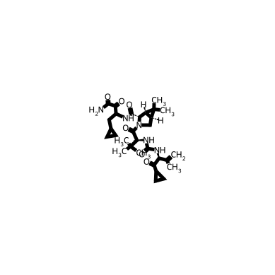 C=C(C)[C@H](NC(=O)N[C@H](C(=O)N1C[C@H]2[C@@H]([C@H]1C(=O)NC(CC1CC1)C(=O)C(N)=O)C2(C)C)C(C)(C)C)C(=O)C1CC1